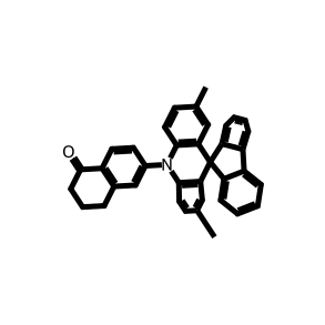 Cc1ccc2c(c1)C1(c3ccccc3-c3ccccc31)c1cc(C)ccc1N2c1ccc2c(c1)CCCC2=O